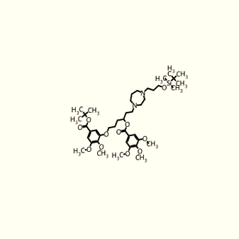 COc1cc(C(=O)OC(CCCOc2cc(C(=O)OC(C)(C)C)cc(OC)c2OC)CCN2CCCN(CCCO[Si](C)(C)C(C)(C)C)CC2)cc(OC)c1OC